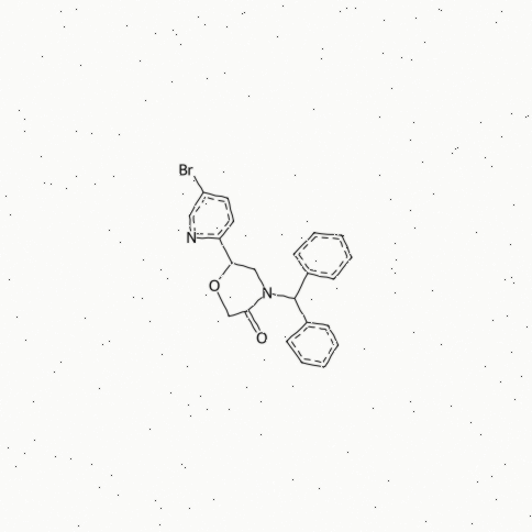 O=C1COC(c2ccc(Br)cn2)CN1C(c1ccccc1)c1ccccc1